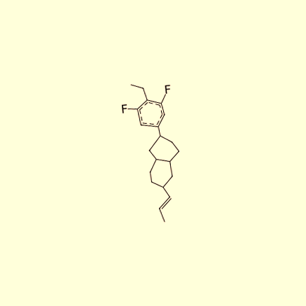 CC=CC1CCC2CC(c3cc(F)c(CC)c(F)c3)CCC2C1